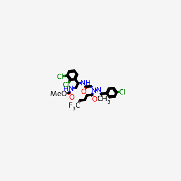 COC(=O)NCC(NC(=O)CN(/N=C(\C)c1ccc(Cl)cc1)C(=O)CCCC(F)(F)F)c1cccc(Cl)c1Cl